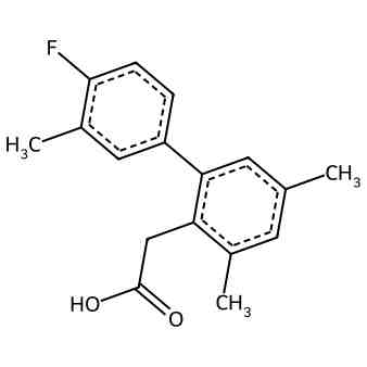 Cc1cc(C)c(CC(=O)O)c(-c2ccc(F)c(C)c2)c1